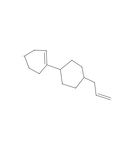 C=CCC1CCC(C2=CC[CH]CC2)CC1